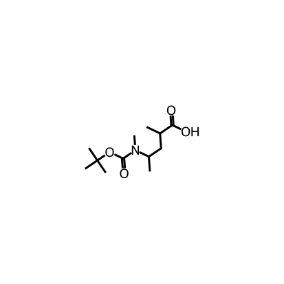 CC(CC(C)N(C)C(=O)OC(C)(C)C)C(=O)O